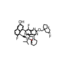 CC(C)[Si](C#Cc1c(F)ccc2cc(O)cc(-c3ncc4c(N5CCCCC5)nc(OC[C@@]56CCCN5C[C@H](F)C6)nc4c3F)c12)(C(C)C)C(C)C